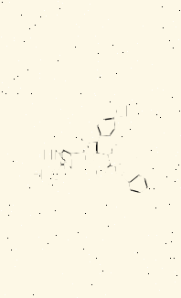 Cc1nc(-c2nc(-c3ccc(Cl)cc3)c(C(C)C(=O)OCc3ccccc3)o2)c[nH]1